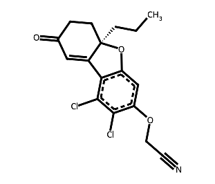 CCC[C@@]12CCC(=O)C=C1c1c(cc(OCC#N)c(Cl)c1Cl)O2